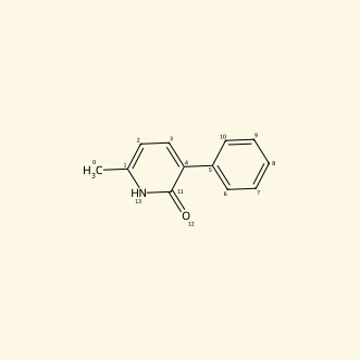 Cc1ccc(-c2ccccc2)c(=O)[nH]1